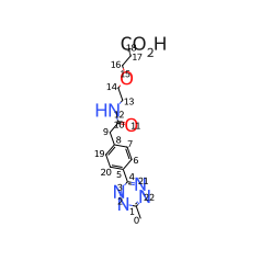 Cc1nnc(-c2ccc(CC(=O)NCCOCCC(=O)O)cc2)nn1